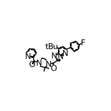 CC(C)(C)c1cc(-c2ccc(F)cc2)nn2cc(C(=O)N3CCN(C(=O)c4ccccn4)CC3(C)C)nc12